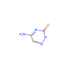 NC1=NC(=O)[N]N=C1